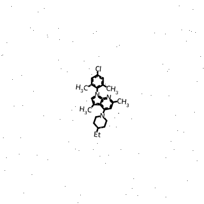 CCC1CCN(c2cc(C)nc3c2c(C)cn3-c2c(C)cc(Cl)cc2C)CC1